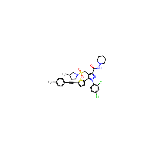 O=C(NN1CCCCC1)c1nn(-c2ccc(Cl)cc2Cl)c(-c2ccc(C#Cc3ccc(C(F)(F)F)cc3)s2)c1CS(=O)(=O)N1CCC(C(F)(F)F)C1